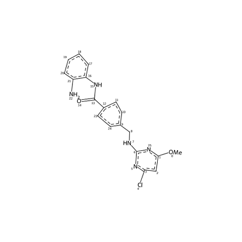 COc1cc(Cl)nc(NCc2ccc(C(=O)Nc3ccccc3N)cc2)n1